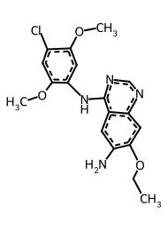 CCOc1cc2ncnc(Nc3cc(OC)c(Cl)cc3OC)c2cc1N